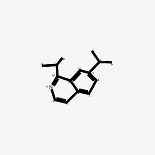 CC(C)c1ccc2ccnc(C(C)C)c2c1